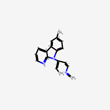 C=N/C=C\C(=C/C)n1c2ccc(C)cc2c2cccnc21